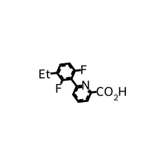 CCc1ccc(F)c(-c2cccc(C(=O)O)n2)c1F